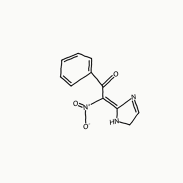 O=C(C(=C1N=CCN1)[N+](=O)[O-])c1ccccc1